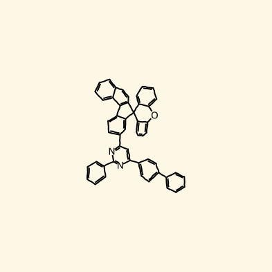 c1ccc(-c2ccc(-c3cc(-c4ccc5c(c4)C4(c6ccccc6Oc6ccccc64)c4ccc6ccccc6c4-5)nc(-c4ccccc4)n3)cc2)cc1